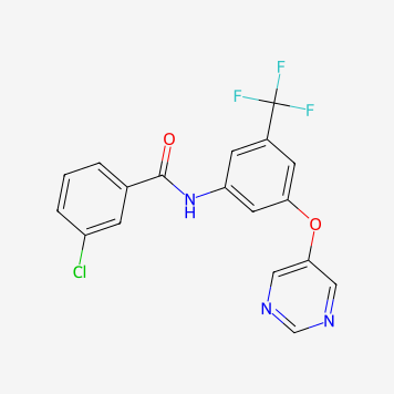 O=C(Nc1cc(Oc2cncnc2)cc(C(F)(F)F)c1)c1cccc(Cl)c1